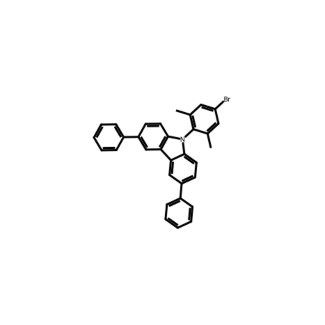 Cc1cc(Br)cc(C)c1-n1c2ccc(-c3ccccc3)cc2c2cc(-c3ccccc3)ccc21